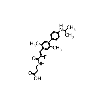 Cc1cc(-c2ccc(NC(C)C)cc2)c(C)cc1/C=C(\F)C(=O)NCCC(=O)O